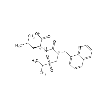 CC(C)C[C@H](NC(=O)[C@H](Cc1cccc2cccnc12)CS(=O)(=O)C(C)C)C(=O)O